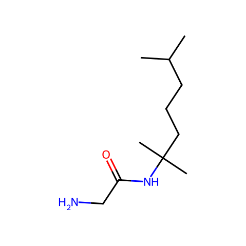 CC(C)CCCC(C)(C)NC(=O)CN